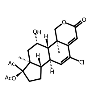 CC(=O)O[C@]1(C(C)=O)CC[C@H]2[C@@H]3C=C(Cl)C4=CC(=O)OC[C@]4(C)[C@H]3[C@@H](O)C[C@@]21C